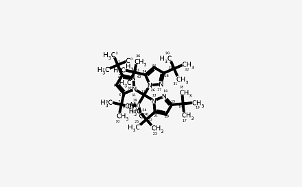 CC(C)(C)c1cc(C(C)(C)C)n([C](n2nc(C(C)(C)C)cc2C(C)(C)C)(n2nc(C(C)(C)C)cc2C(C)(C)C)[Mn]([Cl])[Cl])n1